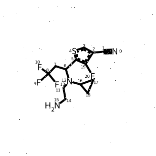 N#Cc1csc(C(CC(F)(F)F)N(CCN)C2CC2)c1F